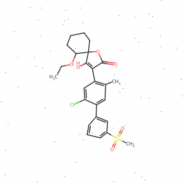 CCOC1CCCCC12OC(=O)C(c1cc(Cl)c(-c3cccc(S(C)(=O)=O)c3)cc1C)=C2O